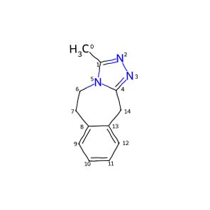 Cc1nnc2n1CCc1ccccc1C2